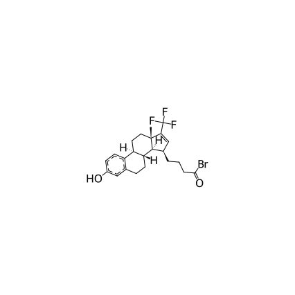 C[C@]12CC[C@@H]3c4ccc(O)cc4CC[C@H]3[C@@H]1[C@H](CCCC(=O)Br)C=C2C(F)(F)F